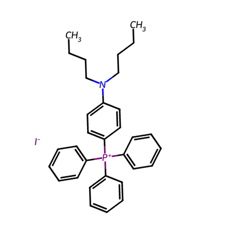 CCCCN(CCCC)c1ccc([P+](c2ccccc2)(c2ccccc2)c2ccccc2)cc1.[I-]